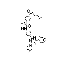 C[C@H]1COCCN1c1nc(-c2ccc(NC(=O)Nc3ccc(C(=O)N(C)CCN(C)C)cc3)cc2)nc(N2CCOC[C@@H]2C)n1